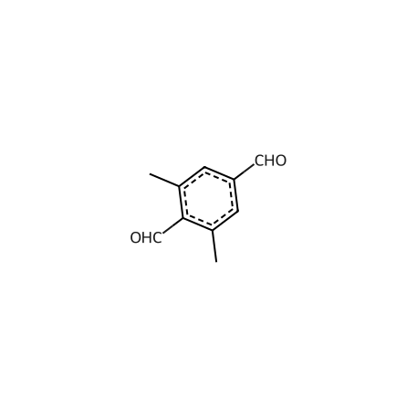 Cc1cc(C=O)cc(C)c1C=O